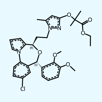 CCOC(=O)C(C)(C)Oc1cc(C)n(CC[C@H]2O[C@H](c3cccc(OC)c3OC)c3cc(Cl)ccc3-n3cccc32)n1